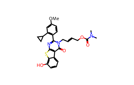 COc1ccc(-c2nc3sc4c(O)cccc4c3c(=O)n2C/C=C/COC(=O)N(C)C)c(C2CC2)c1